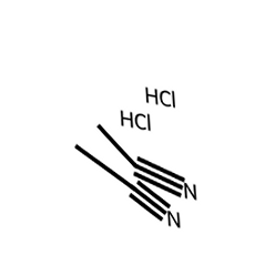 CC#N.CC#N.Cl.Cl